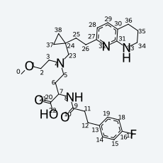 COCCN(CCC(NC(=O)CCc1ccc(F)cc1)C(=O)O)CC1(CCc2ccc3c(n2)NCCC3)CC1